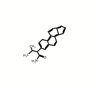 CC(C)C(C(N)=O)C1=CCc2c(ccc3c4c(ccc23)=CC=C4)=C1